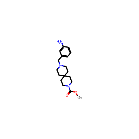 CC(C)(C)OC(=O)N1CCC2(CCN(Cc3cccc(N)c3)CC2)CC1